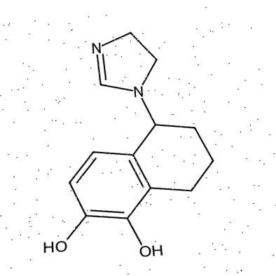 Oc1ccc2c(c1O)CCCC2N1C=NCC1